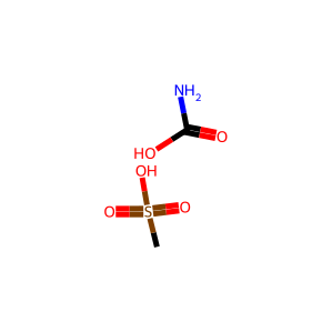 CS(=O)(=O)O.NC(=O)O